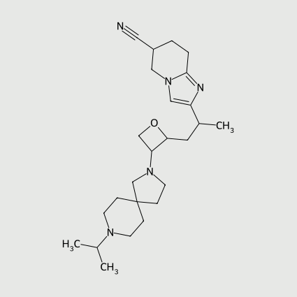 CC(CC1OCC1N1CCC2(CCN(C(C)C)CC2)C1)c1cn2c(n1)CCC(C#N)C2